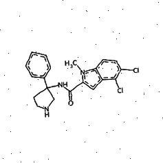 Cn1c(C(=O)NC2(c3ccccc3)CCNC2)cc2c(Cl)c(Cl)ccc21